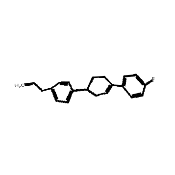 C=CCc1ccc(C2CC=C(c3ccc(F)cc3)CC2)cc1